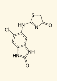 O=C1CSC(Nc2cc3[nH]c(=O)[nH]c3cc2Cl)=N1